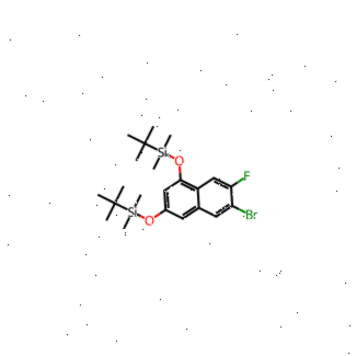 CC(C)(C)[Si](C)(C)Oc1cc(O[Si](C)(C)C(C)(C)C)c2cc(F)c(Br)cc2c1